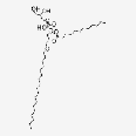 CCCCCCCCCCCCCCCCCCOC[C@H](COP(=O)(O)OC[C@@H](O)CO)OC(=O)CCCCCCCCCCC